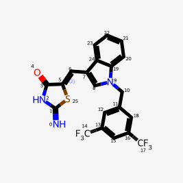 N=C1NC(=O)/C(=C/c2cn(Cc3cc(C(F)(F)F)cc(C(F)(F)F)c3)c3ccccc23)S1